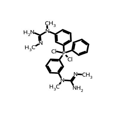 CN=C(N)N(C)c1cccc(P(Cl)(Cl)(c2ccccc2)c2cccc(N(C)C(N)=NC)c2)c1